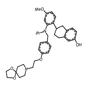 COc1ccc(C2CCc3cc(O)ccc3C2)c(N(Cc2ccc(OCCN3CCC4(CC3)OCCO4)cc2)C(C)C)c1